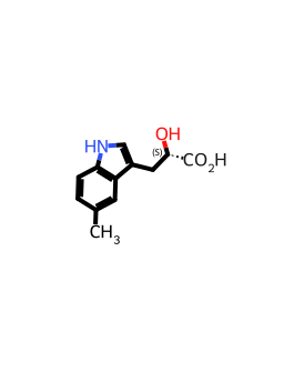 Cc1ccc2[nH]cc(C[C@H](O)C(=O)O)c2c1